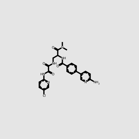 CN(C)C(=O)C(CNC(=O)C(=O)Nc1ccc(Cl)cn1)NC(=O)c1ccc(-c2ccc(N)nc2)cc1